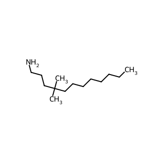 CCCCCCCCC(C)(C)CCCN